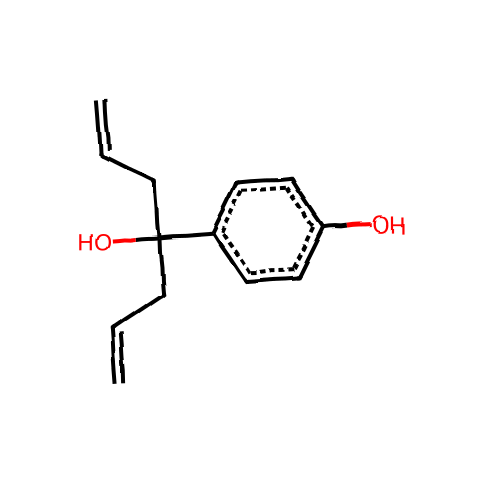 C=CCC(O)(CC=C)c1ccc(O)cc1